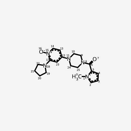 Cn1cccc1C(=O)N1CCN(c2cc[n+]([O-])c(N3CCCC3)c2)CC1